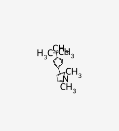 Cc1ccc(-c2ccc(C(C)(C)C)cc2)c(C)n1